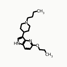 CCCCN1CCC(c2c[nH]c3ccc(OCCC)nc23)CC1